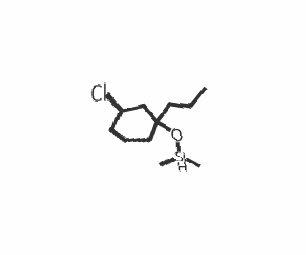 CCCC1(O[SiH](C)C)CCCC(Cl)C1